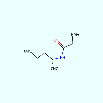 CNCC(=O)N[C@H](C=O)CCSC